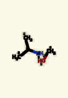 CC(C)N.CO